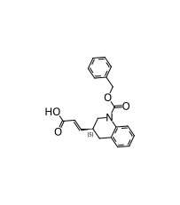 O=C(O)C=C[C@@H]1Cc2ccccc2N(C(=O)OCc2ccccc2)C1